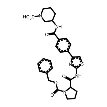 O=C(NC1CCCN(C(=O)O)C1)c1ccc(-c2csc(NC(=O)C3CCCN3C(=O)OCc3ccccc3)n2)cc1